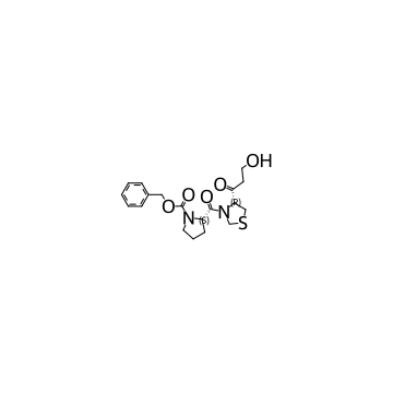 O=C(CCO)[C@@H]1CSCN1C(=O)[C@@H]1CCCN1C(=O)OCc1ccccc1